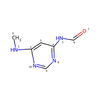 CNc1cc(NC=O)ncn1